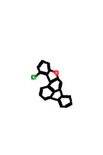 Clc1cccc2oc3cc4c5c(cccc5c3c12)-c1ccccc1-4